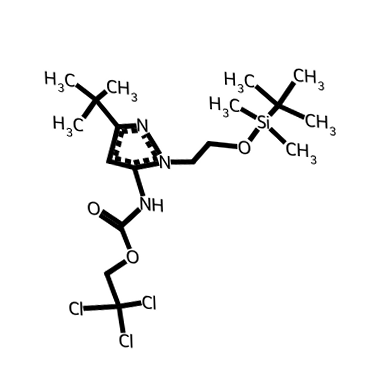 CC(C)(C)c1cc(NC(=O)OCC(Cl)(Cl)Cl)n(CCO[Si](C)(C)C(C)(C)C)n1